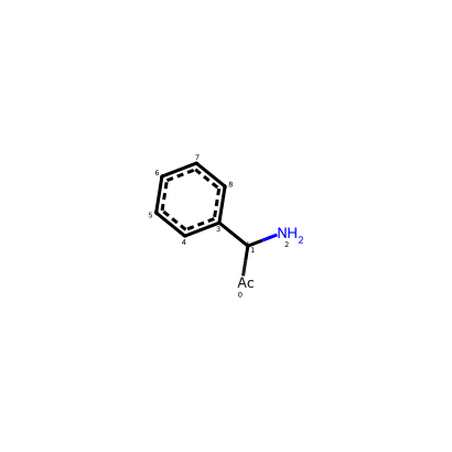 CC(=O)[C](N)c1ccccc1